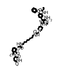 C=CC(=O)Nc1cc(-c2nn(C3CCN(CC(=O)NCCCCCCCCNC(=O)COc4cccc5c4C(=O)N(C4CCC(=O)NC4=O)C5=O)CC3)c3ncnc(N)c23)ccc1Oc1ccccc1